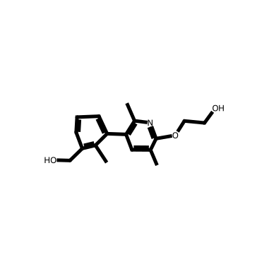 Cc1cc(-c2cccc(CO)c2C)c(C)nc1OCCO